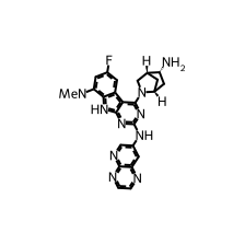 CNc1cc(F)cc2c1[nH]c1nc(Nc3cnc4nccnc4c3)nc(N3C[C@H]4C[C@@H]3C[C@H]4N)c12